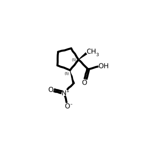 C[C@]1(C(=O)O)CCC[C@@H]1C[N+](=O)[O-]